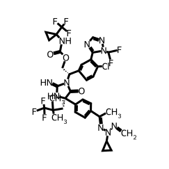 C=NN(/N=C(\C)c1ccc([C@@]2(CC(C)(C)C(F)(F)F)NC(=N)N([C@H](COC(=O)NC3(C(F)(F)F)CC3)c3ccc(Cl)c(-c4ncnn4C(F)F)c3)C2=O)cc1)C1CC1